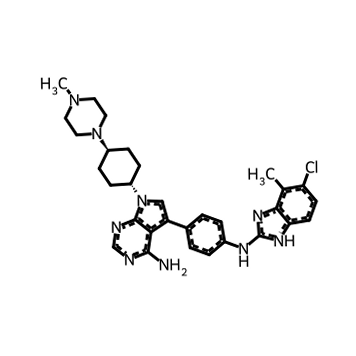 Cc1c(Cl)ccc2[nH]c(Nc3ccc(-c4cn([C@H]5CC[C@H](N6CCN(C)CC6)CC5)c5ncnc(N)c45)cc3)nc12